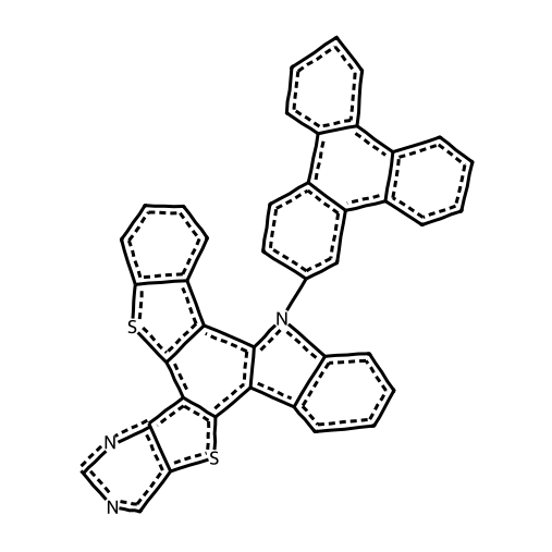 c1ccc2c(c1)sc1c3c4ncncc4sc3c3c4ccccc4n(-c4ccc5c6ccccc6c6ccccc6c5c4)c3c21